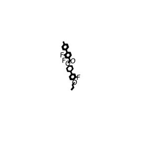 C=CCOc1ccc(C2CCC(OC(=O)c3ccc(-c4ccc(C)cc4)c(F)c3F)CC2)cc1F